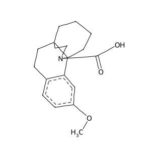 COc1ccc2c(c1)C13CCCCC1(CC2)CCN3C(=O)O